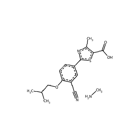 CN.Cc1nc(-c2ccc(OCC(C)C)c(C#N)c2)sc1C(=O)O